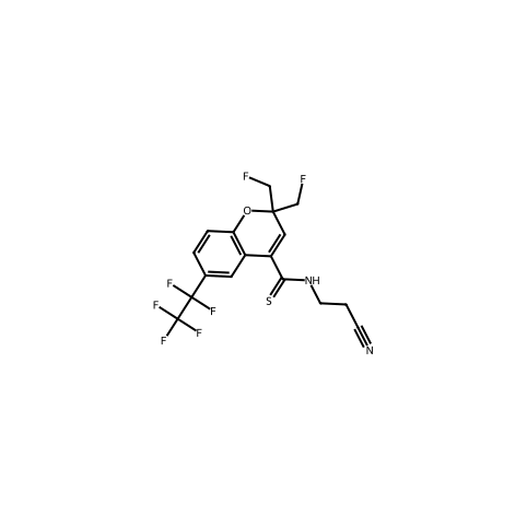 N#CCCNC(=S)C1=CC(CF)(CF)Oc2ccc(C(F)(F)C(F)(F)F)cc21